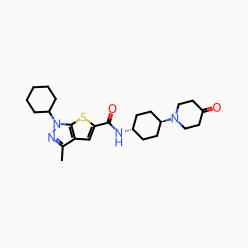 Cc1nn(C2CCCCC2)c2sc(C(=O)N[C@H]3CC[C@H](N4CCC(=O)CC4)CC3)cc12